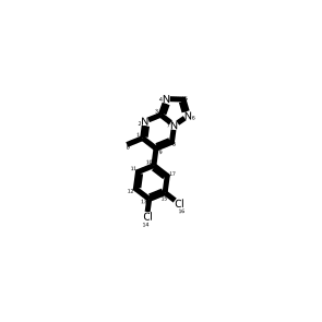 Cc1nc2ncnn2cc1-c1ccc(Cl)c(Cl)c1